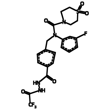 O=C(NNC(=O)C(F)(F)F)c1ccc(CN(C(=O)N2CCS(=O)(=O)CC2)c2cccc(F)c2)cc1